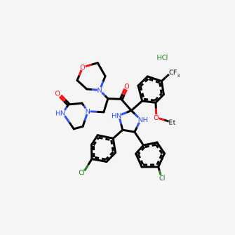 CCOc1cc(C(F)(F)F)ccc1C1(C(=O)C(CN2CCNC(=O)C2)N2CCOCC2)NC(c2ccc(Cl)cc2)C(c2ccc(Cl)cc2)N1.Cl